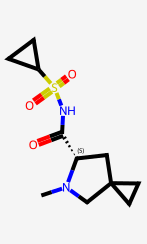 CN1CC2(CC2)C[C@H]1C(=O)NS(=O)(=O)C1CC1